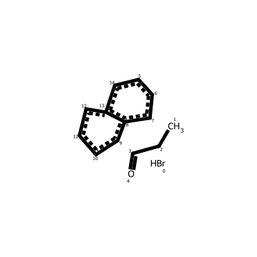 Br.CCC=O.c1ccc2ccccc2c1